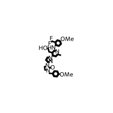 COc1ccc(CN2CCN(c3ccn(-c4cc(C)nc(Nc5ccc(OC)cc5C(F)F)c4CCO)n3)C2=O)cc1